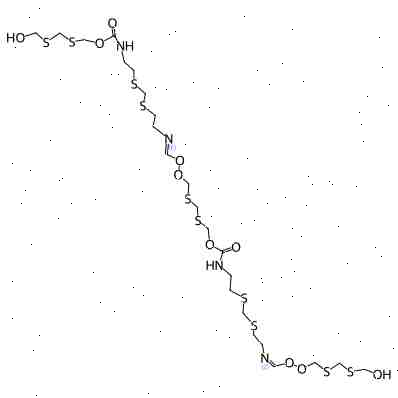 O=C(NCCSCSCC/N=C/OOCSCSCOC(=O)NCCSCSCC/N=C\OOCSCSCO)OCSCSCO